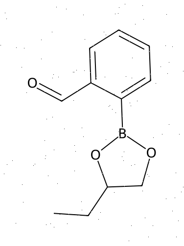 CCC1COB(c2ccccc2C=O)O1